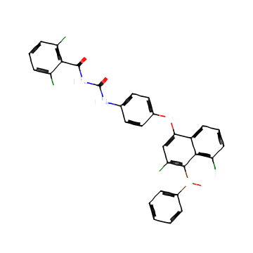 O=C(NC(=O)c1c(F)cccc1F)Nc1ccc(Oc2cc(F)c([S+]([O-])c3ccccc3)c3c(F)cccc23)cc1